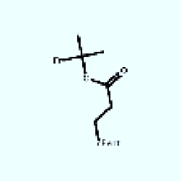 CCCCCCCC(=O)OC(C)(C)CC